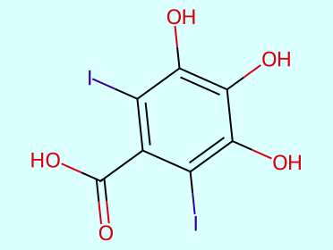 O=C(O)c1c(I)c(O)c(O)c(O)c1I